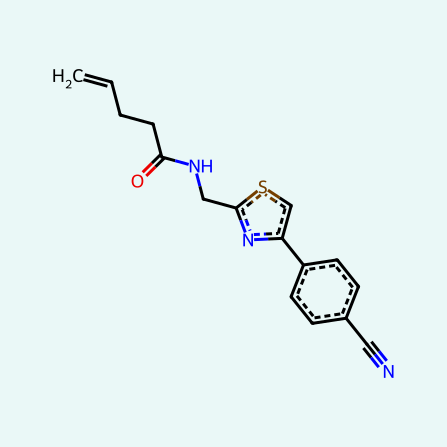 C=CCCC(=O)NCc1nc(-c2ccc(C#N)cc2)cs1